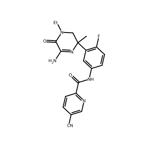 CCN1CC(C)(c2cc(NC(=O)c3ccc(C#N)cn3)ccc2F)N=C(N)C1=O